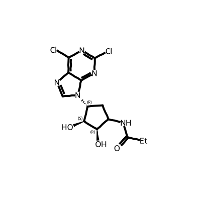 CCC(=O)NC1C[C@@H](n2cnc3c(Cl)nc(Cl)nc32)[C@H](O)[C@@H]1O